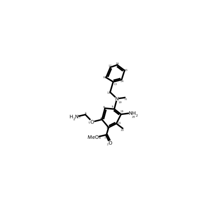 COC(=O)c1c(OCN)cc(N(C)Cc2ccccc2)c(N)c1C